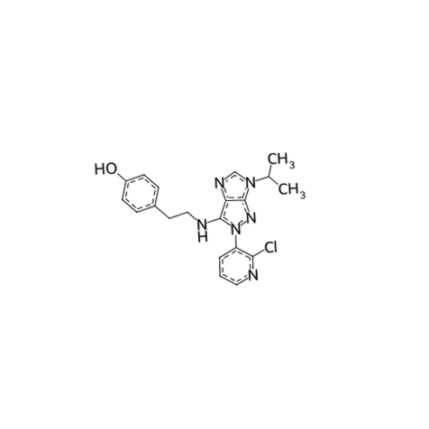 CC(C)n1cnc2c(NCCc3ccc(O)cc3)n(-c3cccnc3Cl)nc21